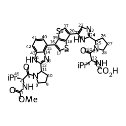 COC(=O)N[C@H](C(=O)N1CCCC1c1nc2c(-c3csc4c(-c5cnc(C6CCCN6C(=O)[C@@H](NC(=O)O)C(C)C)[nH]5)csc34)cccc2[nH]1)C(C)C